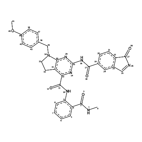 CNC(=O)c1ccccc1NC(=O)c1nc(NC(=O)c2ccc3c(c2)C=NC3=O)nc2c1CCN2Cc1ccc(OC)cc1